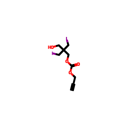 C#CCOC(=O)OCC(CO)(CI)CI